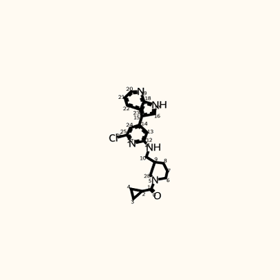 O=C(C1CC1)N1CCCC(CNc2cc(-c3c[nH]c4ncccc34)cc(Cl)n2)C1